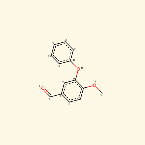 COc1ccc(C=O)cc1Oc1ccccc1